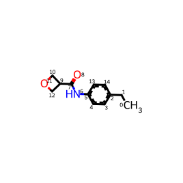 CCc1ccc(NC(=O)C2COC2)cc1